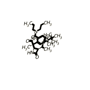 CCCN(CCC)C(=O)c1ccccc1[C@](C)(C(=O)S)[C@H]1NC(=O)[C@@H]1C(C)O[Si](C)(C)C(C)(C)C